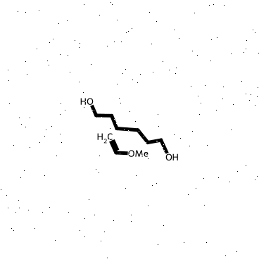 C=COC.OCCCCCCO